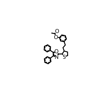 CC(=O)Oc1cccc(CCC2CCSC2c2nc(-c3ccccc3)c(-c3ccccc3)o2)c1